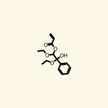 C=CC(=O)OC(OCC)C(O)(OCC)c1ccccc1